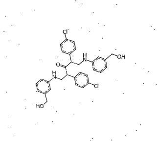 O=C(C(CNc1cccc(CO)c1)c1ccc(Cl)cc1)C(CNc1cccc(CO)c1)c1ccc(Cl)cc1